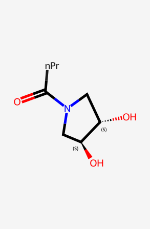 CCCC(=O)N1C[C@H](O)[C@@H](O)C1